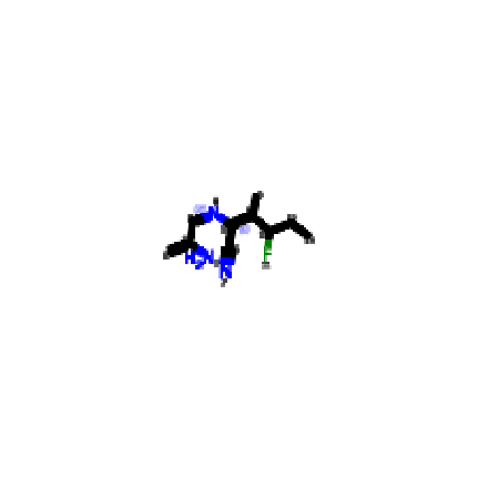 C=C(N)/C=N\C(C#N)=C(/C)C(F)CC